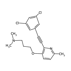 Cc1ccc(OCCCN(C)C)c(C#Cc2cc(Cl)cc(Cl)c2)n1